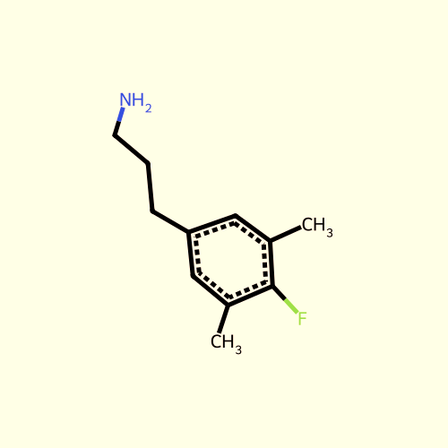 Cc1cc(CCCN)cc(C)c1F